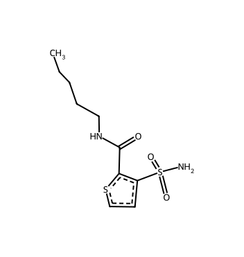 CCCCCNC(=O)c1sccc1S(N)(=O)=O